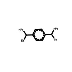 CCC[C](CC)c1ccc([C](CC)CCC)cc1